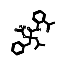 CC(=O)c1ccccc1NC(=O)C(Cc1ccccc1)(OC(N)=O)SC(C)C